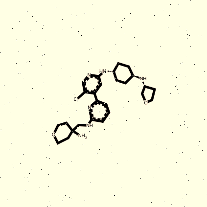 NC1(CNc2cccc(-c3cc(N[C@H]4CC[C@H](N[C@@H]5CCOC5)CC4)ncc3Cl)n2)CCOCC1